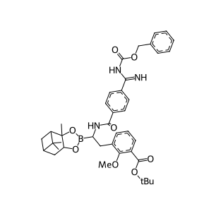 COc1c(CC(NC(=O)c2ccc(C(=N)NC(=O)OCc3ccccc3)cc2)B2OC3CC4CC(C4(C)C)C3(C)O2)cccc1C(=O)OC(C)(C)C